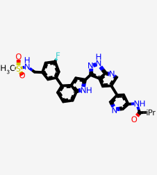 CC(C)C(=O)Nc1cncc(-c2cnc3[nH]nc(-c4cc5c(-c6cc(F)cc(CNS(C)(=O)=O)c6)cccc5[nH]4)c3c2)c1